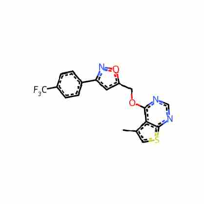 Cc1csc2ncnc(OCc3cc(-c4ccc(C(F)(F)F)cc4)no3)c12